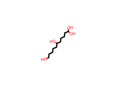 OCCCCCC(O)CCCCC(O)O